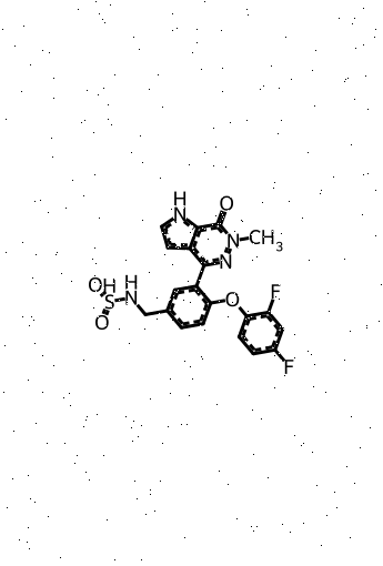 Cn1nc(-c2cc(CN[SH](=O)=O)ccc2Oc2ccc(F)cc2F)c2cc[nH]c2c1=O